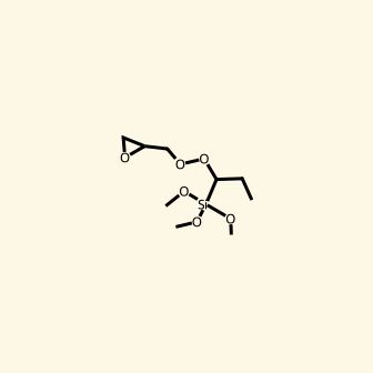 CCC(OOCC1CO1)[Si](OC)(OC)OC